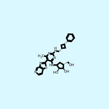 Cc1nc(NC[C@H]2C[C@@H](c3ccccc3)C2)nc(NC2C[C@H](CO)[C@@H](O)[C@H]2O)c1-c1nc2cnccc2s1